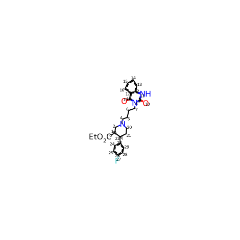 CCOC(=O)[C@H]1CN(CCCCn2c(=O)[nH]c3ccccc3c2=O)CC[C@H]1c1ccc(F)cc1